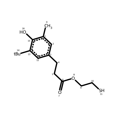 Cc1cc(CCC(=O)OCCS)cc(C(C)(C)C)c1O